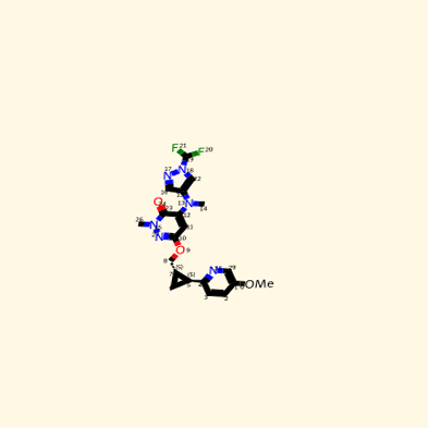 COc1ccc([C@H]2C[C@@H]2COc2cc(N(C)c3cnn(C(F)F)c3)c(=O)n(C)n2)nc1